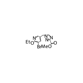 CCOc1ncc(Cn2cnc(C(=O)OC)n2)cc1Br